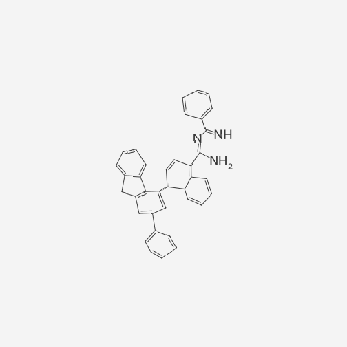 N=C(/N=C(\N)C1=C2C=CC=CC2C(c2cc(-c3ccccc3)cc3c2-c2ccccc2C3)C=C1)c1ccccc1